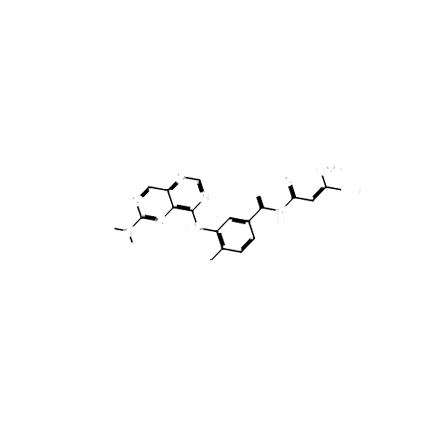 CO/C(=C\C(=N)NC(=O)c1ccc(Cl)c(Nc2ncnc3cnc(N(C)C)nc23)c1)C(C)(C)C